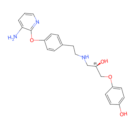 Nc1cccnc1Oc1ccc(CCNC[C@@H](O)COc2ccc(O)cc2)cc1